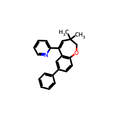 CC1(C)C=C(c2ccccn2)c2cc(-c3ccccc3)ccc2OC1